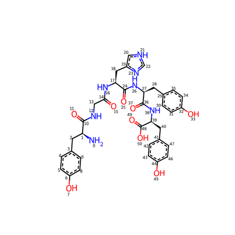 N[C@@H](Cc1ccc(O)cc1)C(=O)NCC(=O)N[C@@H](Cc1c[nH]cn1)C(=O)N[C@@H](Cc1ccc(O)cc1)C(=O)N[C@@H](Cc1ccc(O)cc1)C(=O)O